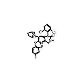 O=C1NCc2nc(Sc3ccc(F)cc3F)c(N3CC4CCC3C4)cc2N1c1c(Cl)cccc1Cl